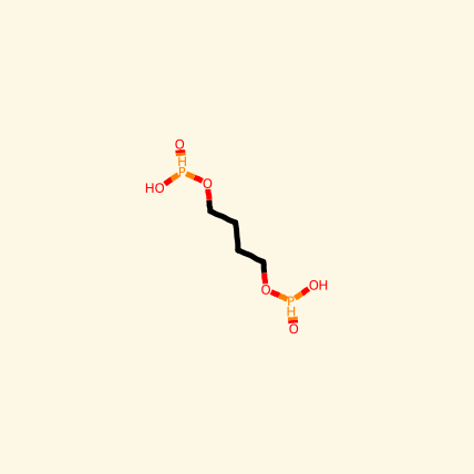 O=[PH](O)OCCCCO[PH](=O)O